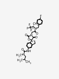 CC(C)CN(C)C(=O)Nc1ccc2c(c1)CC[C@@]21OC(=O)N(CC(=O)N(Cc2ccc(F)cc2)[C@@H](C)C(F)(F)F)C1=O